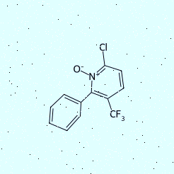 [O-][n+]1c(Cl)ccc(C(F)(F)F)c1-c1ccccc1